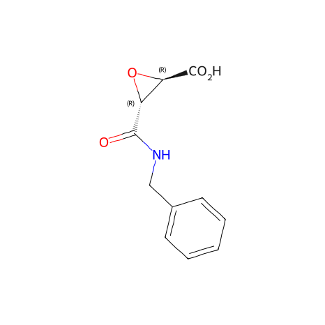 O=C(O)[C@@H]1O[C@H]1C(=O)NCc1ccccc1